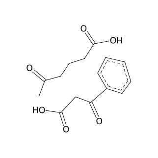 CC(=O)CCCC(=O)O.O=C(O)CC(=O)c1ccccc1